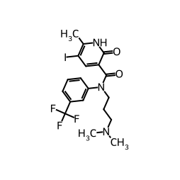 Cc1[nH]c(=O)c(C(=O)N(CCCN(C)C)c2cccc(C(F)(F)F)c2)cc1I